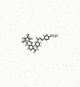 CCOC(=O)c1ccc(/N=C/N(C)c2ccc(CN(C)c3ccc(C=C4C(=O)NC(=O)NC4=O)cc3)cc2)cc1